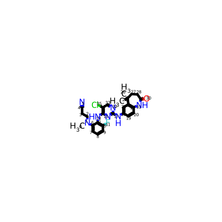 CN(CCC#N)c1cccc(F)c1Nc1nc(Nc2ccc3c(c2)C(C)(C)CCC(=O)N3)ncc1Cl